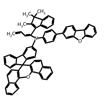 C=C/C=C(\C1=C(C)C(C)(C)c2ccccc21)N(c1ccc(-c2ccc3c(c2)oc2ccccc23)cc1)c1ccc2c(c1)-c1ccccc1C21c2ccc3ccccc3c2Oc2c1ccc1ccccc21